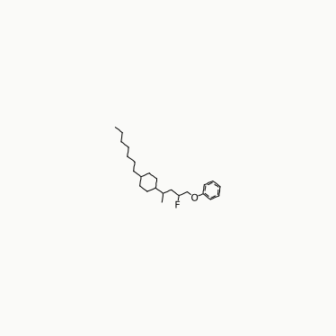 CCCCCCCC1CCC(C(C)CC(F)COc2ccccc2)CC1